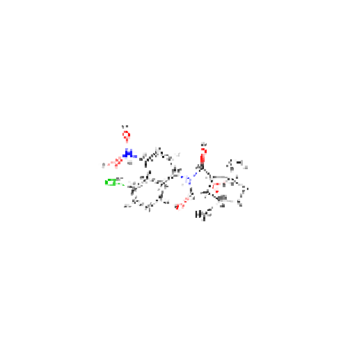 C[C@@]12CC[C@](C)(O1)C1C(=O)N(c3ccc([N+](=O)[O-])c4c(Cl)cccc34)C(=O)C12